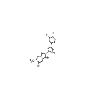 Cc1cc2nc(-c3cc(-c4ccc(F)c(F)c4)n[nH]3)[nH]c2cc1Br